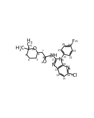 CC1(C)CCCC(CC(=O)Nc2nc3ccc(Cl)nc3n2-c2ccc(F)cc2)O1